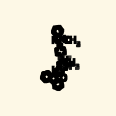 CC(CCCC1(C(=O)NCC(F)(F)F)c2ccccc2-c2ccccc21)N1CCN(c2nc3ccccc3n2C)CC1